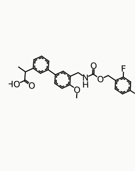 COc1ccc(-c2cccc(C(C)C(=O)O)c2)cc1CNC(=O)OCc1ccc(Cl)cc1F